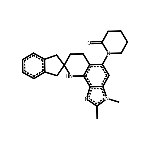 Cc1nc2c3c(c(N4CCCCC4=O)cc2n1C)CCC1(Cc2ccccc2C1)N3